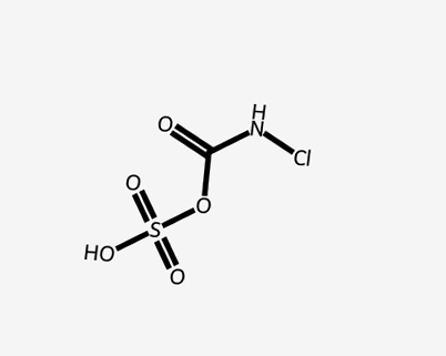 O=C(NCl)OS(=O)(=O)O